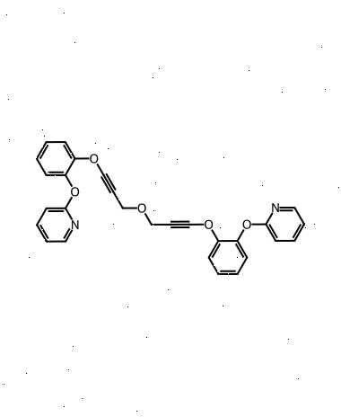 C(#COc1ccccc1Oc1ccccn1)COCC#COc1ccccc1Oc1ccccn1